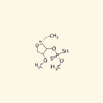 CC[C@H]1OCC(OC)C1OP(=S)(S)OC